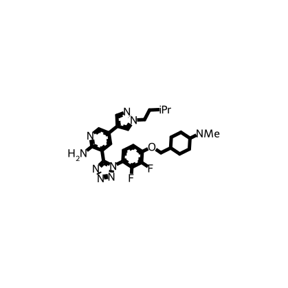 CNC1CCC(COc2ccc(-n3nnnc3-c3cc(-c4cnn(CCC(C)C)c4)cnc3N)c(F)c2F)CC1